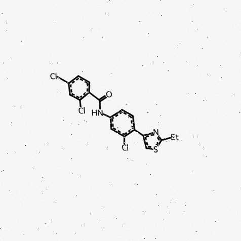 CCc1nc(-c2ccc(NC(=O)c3ccc(Cl)cc3Cl)cc2Cl)cs1